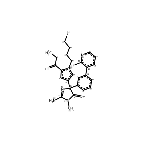 CCC(=O)c1cc([C@]2(c3cccc(-c4cccnc4F)c3)N=C(N)N(C)C2=O)cn1CCCCF